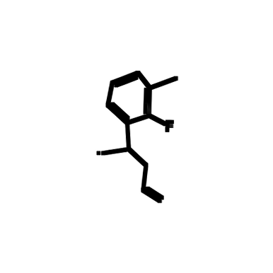 [CH2]C(CC=C)c1cccc(C)c1F